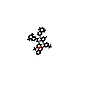 Cc1cc2c3c(c1)N(c1ccc4c(c1)C(C)(C)CCC4(C)C)c1c(sc4cc5c(cc14)C(C)(C)CCC5(C)C)B3c1cc(C(C)(C)C)ccc1N2c1ccc(C(C)(C)C)cc1-c1ccc2ccccc2c1